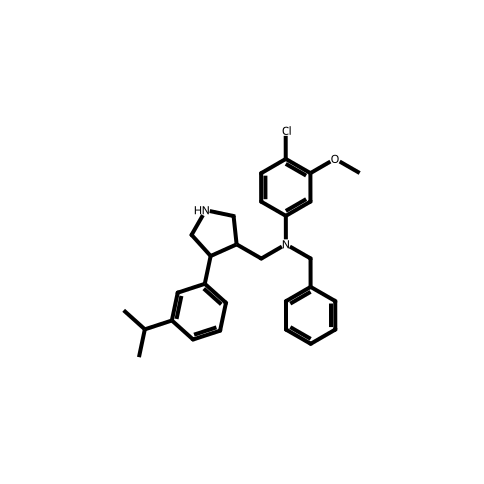 COc1cc(N(Cc2ccccc2)CC2CNCC2c2cccc(C(C)C)c2)ccc1Cl